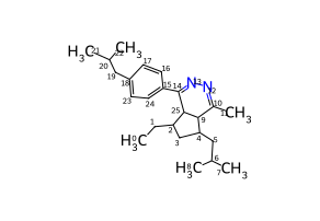 CCC1CC(CC(C)C)C2C(C)=NN=C(c3ccc(CC(C)C)cc3)C12